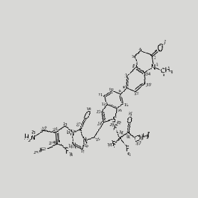 CN1C(=O)CCc2cc(-c3ccc4cc(Cn5cnn(CC(CN)=C(F)F)c5=O)sc4c3)ccc21.O=C(O)C(F)(F)F